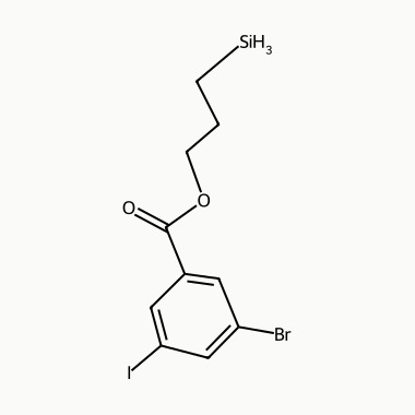 O=C(OCCC[SiH3])c1cc(Br)cc(I)c1